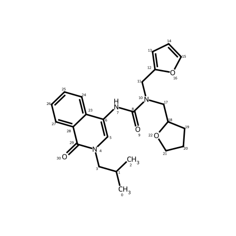 CC(C)Cn1cc(NC(=O)N(Cc2ccco2)CC2CCCO2)c2ccccc2c1=O